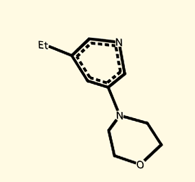 CCc1cncc(N2CCOCC2)c1